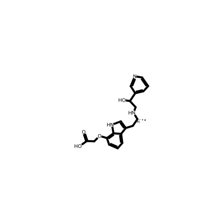 C[C@H](Cc1c[nH]c2c(OCC(=O)O)cccc12)NCC(O)c1cccnc1